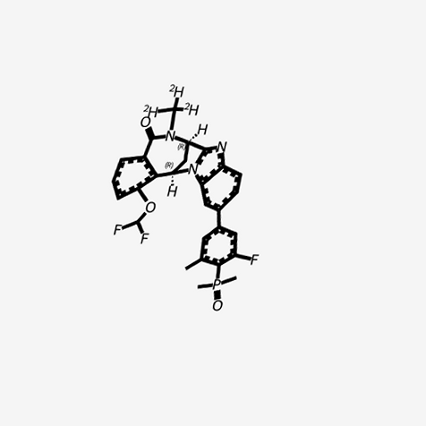 [2H]C([2H])([2H])N1C(=O)c2cccc(OC(F)F)c2[C@H]2C[C@@H]1c1nc3ccc(-c4cc(C)c(P(C)(C)=O)c(F)c4)cc3n12